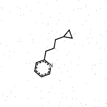 [CH](Cc1ccccn1)CC1CC1